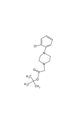 CC(C)(C)OC(=O)CN1CCN(c2ccccc2Cl)CC1